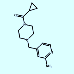 Nc1cc(CN2CCN(C(=O)C3CC3)CC2)ccn1